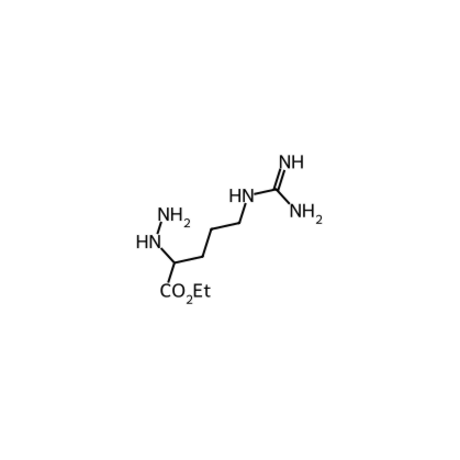 CCOC(=O)C(CCCNC(=N)N)NN